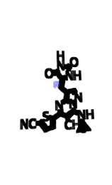 Cc1c(-c2ccc(C#N)s2)nc2c(/C=C3\NC(=O)NC3=O)cnn2c1NC1CC1